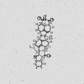 CCCC12C3=Nc4ccccc4C3C(=O)C1c1ccc3c4c(ccc2c14)C1c2ccc4c5c(ccc(c25)C31CC)C(=O)N(C)C4=O